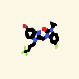 O=c1n(Cc2nc3cc(Br)ccc3n2CCCC(F)(F)F)c2cc(F)ccc2n1C1CC1